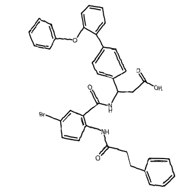 O=C(O)CC(NC(=O)c1cc(Br)ccc1NC(=O)CCc1ccccc1)c1ccc(-c2ccccc2Oc2ccccc2)cc1